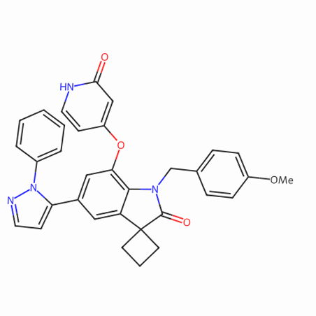 COc1ccc(CN2C(=O)C3(CCC3)c3cc(-c4ccnn4-c4ccccc4)cc(Oc4cc[nH]c(=O)c4)c32)cc1